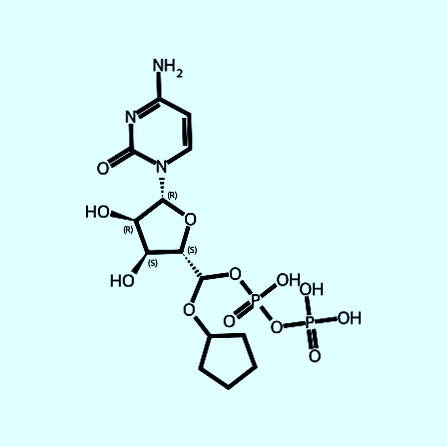 Nc1ccn([C@@H]2O[C@H](C(OC3CCCC3)OP(=O)(O)OP(=O)(O)O)[C@@H](O)[C@H]2O)c(=O)n1